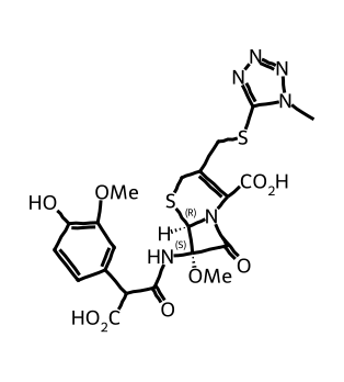 COc1cc(C(C(=O)O)C(=O)N[C@]2(OC)C(=O)N3C(C(=O)O)=C(CSc4nnnn4C)CS[C@@H]32)ccc1O